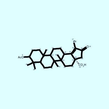 CC(=O)OC1CCC2(C)C(CCC3(C)C2CCC2C4=C(C(C)C)C(=O)C[C@@]4(C(=O)O)CCC23C)C1(C)C